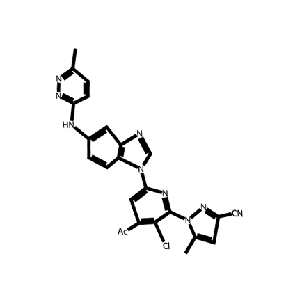 CC(=O)c1cc(-n2cnc3cc(Nc4ccc(C)nn4)ccc32)nc(-n2nc(C#N)cc2C)c1Cl